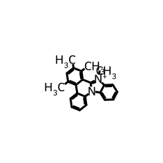 Cc1cc(C)c2c3ccccc3n3c4ccccc4[n+](C)c3c2c1C